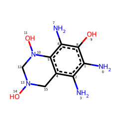 Nc1c(N)c2c(c(N)c1O)N(O)CN(O)C2